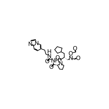 O=CON(C=O)C[C@@H](CC1CCCC1)C(=O)N1CCC[C@H]1C(=O)NC(=O)NCCc1ccc2nccn2c1